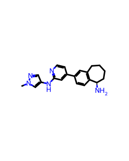 Cn1cc(Nc2cc(-c3ccc4c(c3)CCCC[C@H]4N)ccn2)cn1